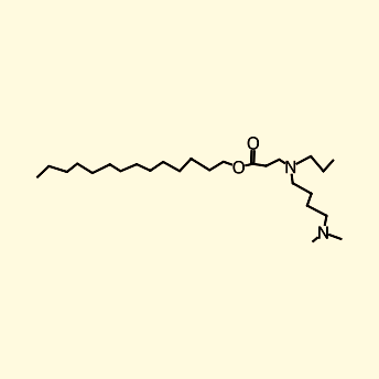 CCCCCCCCCCCCCCOC(=O)CCN(CCC)CCCCN(C)C